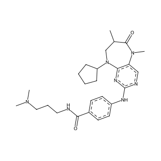 CC1CN(C2CCCC2)c2nc(Nc3ccc(C(=O)NCCCN(C)C)cc3)ncc2N(C)C1=O